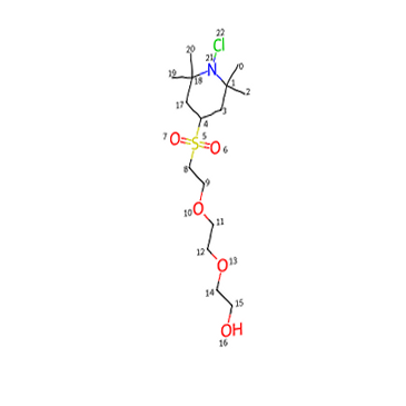 CC1(C)CC(S(=O)(=O)CCOCCOCCO)CC(C)(C)N1Cl